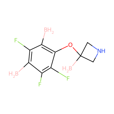 Bc1c(F)c(B)c(OC2(B)CNC2)c(F)c1F